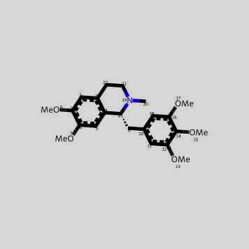 COc1cc2c(cc1OC)[C@@H](Cc1cc(OC)c(OC)c(OC)c1)N(C)CC2